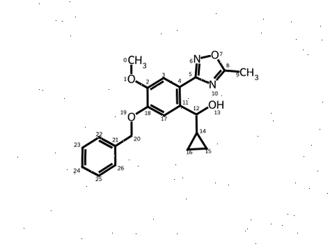 COc1cc(-c2noc(C)n2)c(C(O)C2CC2)cc1OCc1ccccc1